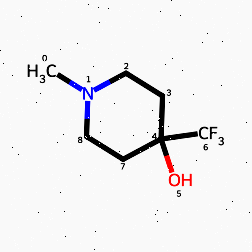 CN1CCC(O)(C(F)(F)F)CC1